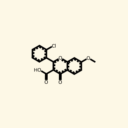 COc1ccc2c(=O)c(C(=O)O)c(-c3ccccc3Cl)oc2c1